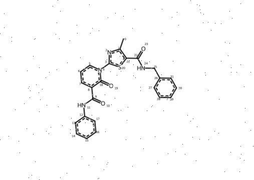 Cc1nc(-n2cccc(C(=O)Nc3ccccc3)c2=O)sc1C(=O)NCc1ccccc1